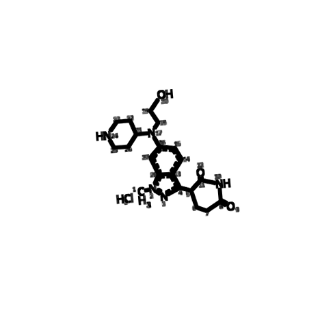 Cl.Cn1nc(C2CCC(=O)NC2=O)c2ccc(N(CCO)C3CCNCC3)cc21